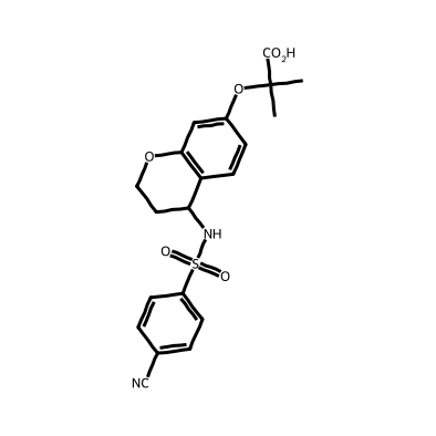 CC(C)(Oc1ccc2c(c1)OCCC2NS(=O)(=O)c1ccc(C#N)cc1)C(=O)O